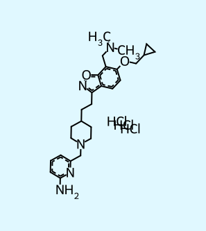 CN(C)Cc1c(OCC2CC2)ccc2c(CCC3CCN(Cc4cccc(N)n4)CC3)noc12.Cl.Cl.Cl